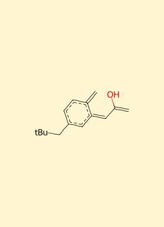 C=C(O)/C=c1/cc(CC(C)(C)C)ccc1=C